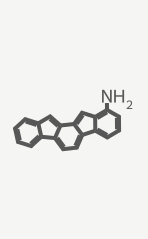 Nc1cccc2c1C=c1c-2ccc2c1=Cc1ccccc1-2